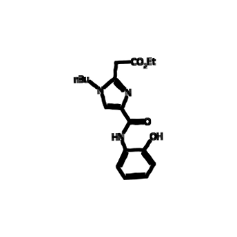 CCCCn1cc(C(=O)Nc2ccccc2O)nc1CC(=O)OCC